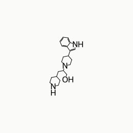 OCC(CC1CCNCC1)N1CCC(c2c[nH]c3ccccc23)CC1